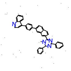 CN1C(c2ccc3ccc(-c4ccc(-c5ccnc6ccccc56)cc4)cc3c2)=NC(c2ccccc2)=NC1c1ccccc1